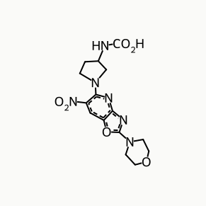 O=C(O)NC1CCN(c2nc3nc(N4CCOCC4)oc3cc2[N+](=O)[O-])C1